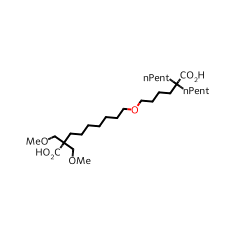 CCCCCC(CCCCC)(CCCCOCCCCCCCC(COC)(COC)C(=O)O)C(=O)O